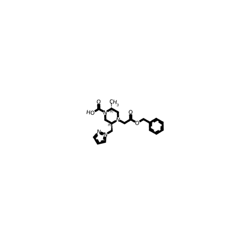 C[C@@H]1CN(CC(=O)OCc2ccccc2)[C@@H](Cn2cccn2)CN1C(=O)O